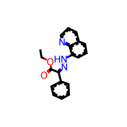 CCOC(=O)/C(=N\Nc1cccc2cccnc12)c1ccccc1